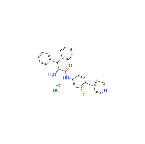 Cc1cnccc1-c1ccc(NC(=O)[C@@H](N)C(c2ccccc2)c2ccccc2)cc1F.Cl.Cl